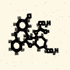 CC[N+]1(OC(=O)C(=O)O)CCC(C(=O)O)CC1OC1Cc2cc(Cl)ccc2Sc2ccccc21